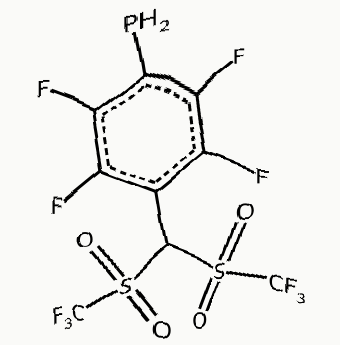 O=S(=O)(C(c1c(F)c(F)c(P)c(F)c1F)S(=O)(=O)C(F)(F)F)C(F)(F)F